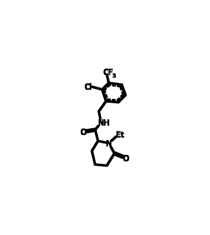 CCN1C(=O)CCCC1C(=O)NCc1cccc(C(F)(F)F)c1Cl